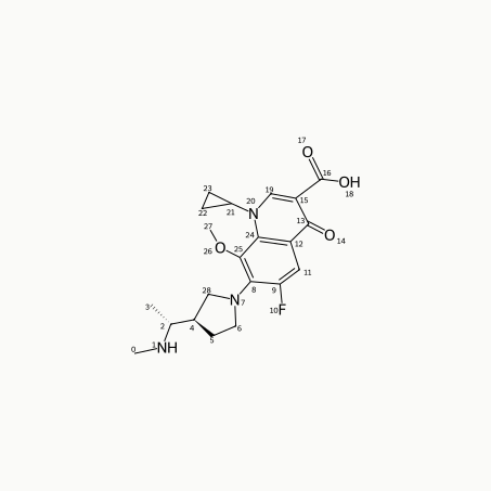 CN[C@H](C)[C@@H]1CCN(c2c(F)cc3c(=O)c(C(=O)O)cn(C4CC4)c3c2OC)C1